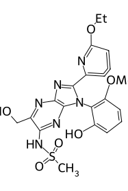 CCOC1=NC(c2nc3nc(CO)c(NS(C)(=O)=O)nc3n2-c2c(O)cccc2OC)=C=C=C1